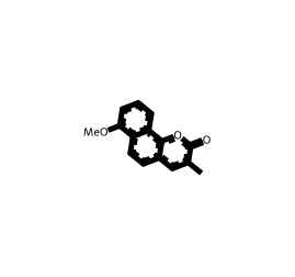 COc1cccc2c1ccc1cc(C)c(=O)oc12